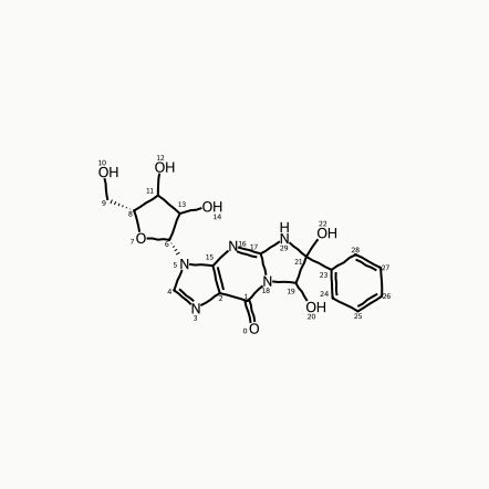 O=c1c2ncn([C@@H]3O[C@H](CO)C(O)C3O)c2nc2n1C(O)C(O)(c1ccccc1)N2